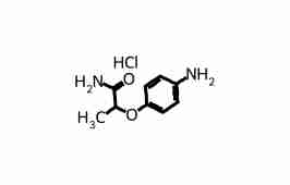 CC(Oc1ccc(N)cc1)C(N)=O.Cl